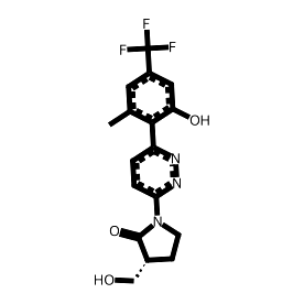 Cc1cc(C(F)(F)F)cc(O)c1-c1ccc(N2CC[C@H](CO)C2=O)nn1